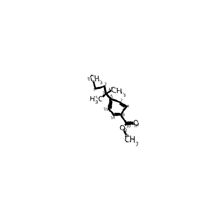 CCCC(C)(C)c1ccc(C(=O)OC)cc1